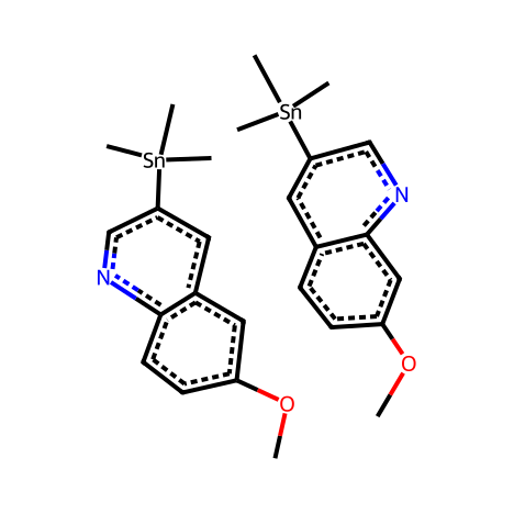 COc1ccc2c[c]([Sn]([CH3])([CH3])[CH3])cnc2c1.COc1ccc2nc[c]([Sn]([CH3])([CH3])[CH3])cc2c1